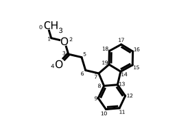 CCOC(=O)CC[C]1c2ccccc2-c2ccccc21